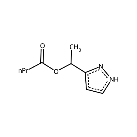 CCCC(=O)OC(C)c1cc[nH]n1